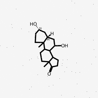 CC12CCC3C(C(O)C[C@H]4C[C@@H](O)CCC34C)C1CCC2=O